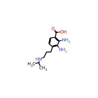 CC(C)NCCCc1ccc(C(=O)O)c(N)c1N